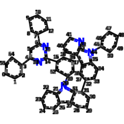 c1ccc(-c2cc(-c3ccccc3)nc(-c3cccc(-n4c5ccccc5c5cccc(-c6ccc7c(c6)c6cccnc6n7-c6ccccc6)c54)c3)n2)cc1